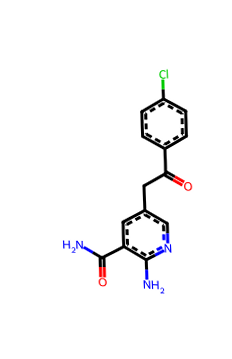 NC(=O)c1cc(CC(=O)c2ccc(Cl)cc2)cnc1N